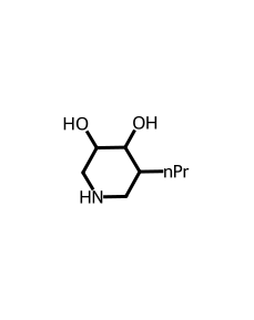 CCCC1CNCC(O)C1O